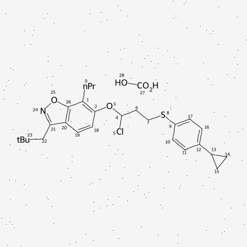 CCCc1c(OC(Cl)CCSc2ccc(C3CC3)cc2)ccc2c(CC(C)(C)C)noc12.O=C(O)O